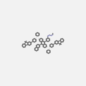 C/C=C\C=C/c1cccc(-c2c3ccc(N(c4ccccc4)c4ccc(-c5ccc6c(c5)C(C)(C)c5ccccc5-6)cc4)cc3c(-c3ccc4ccccc4c3)c3ccc(N(c4ccccc4)c4ccc(-c5ccc6c(c5)C(C)(C)c5ccccc5-6)cc4)cc23)c1